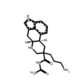 NCCCC1(C(=O)NC(N)=O)CN[C@@H]2Cc3c[nH]c4cccc(c34)[C@H]2C1